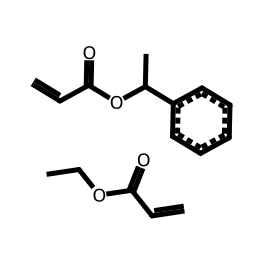 C=CC(=O)OC(C)c1ccccc1.C=CC(=O)OCC